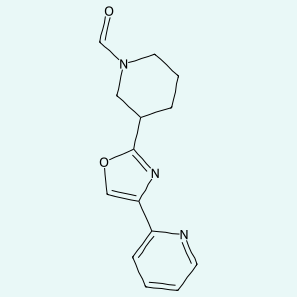 O=CN1CCCC(c2nc(-c3ccccn3)co2)C1